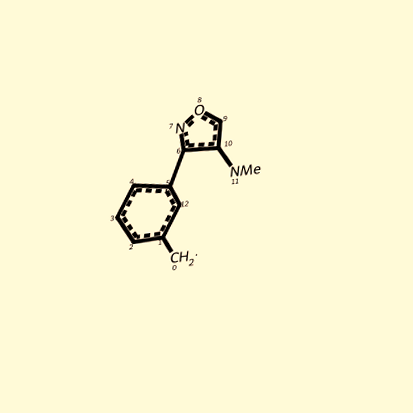 [CH2]c1cccc(-c2nocc2NC)c1